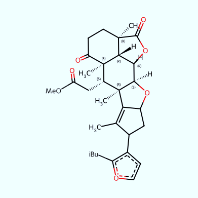 CCC(C)c1occc1C1CC2O[C@@H]3[C@@H]4OC(=O)[C@]5(C)CCC(=O)[C@](C)([C@@H](CC(=O)OC)[C@]3(C)C2=C1C)[C@@H]45